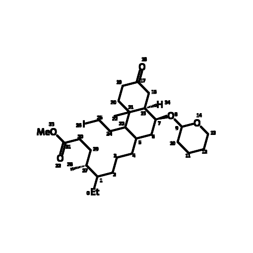 CCC(CCCC1C[C@H](OC2CCCCO2)[C@@H]2CC(=O)CCC2(C)C1CCI)[C@H](C)CCC(=O)OC